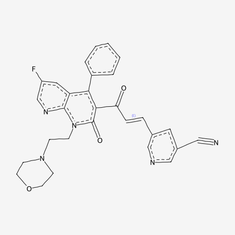 N#Cc1cncc(/C=C/C(=O)c2c(-c3ccccc3)c3cc(F)cnc3n(CCN3CCOCC3)c2=O)c1